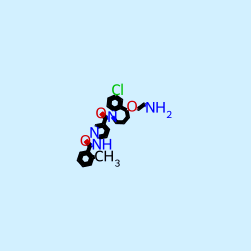 Cc1ccccc1C(=O)Nc1ccc(C(=O)N2CCCC(OCCN)c3cc(Cl)ccc32)cn1